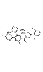 COc1cccc(OC)c1-n1c(-c2ccc(C)cn2)nc(=O)c(C(=O)N2CCC(c3c(F)cccc3F)C2)c1O